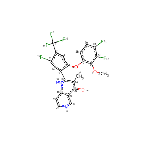 COc1c(Oc2cc(C(F)(F)F)c(F)cc2-c2[nH]c3ccncc3c(=O)c2C)ccc(F)c1F